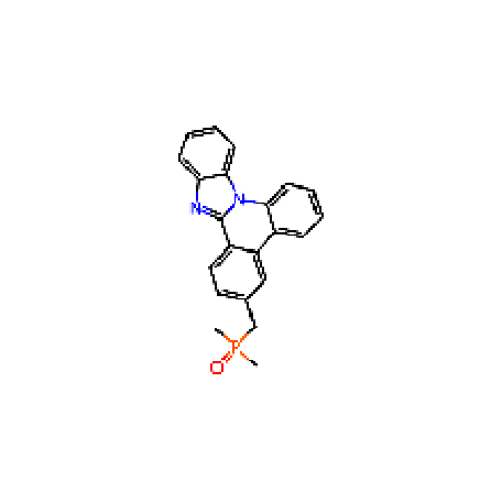 CP(C)(=O)Cc1ccc2c(c1)c1ccccc1n1c3ccccc3nc21